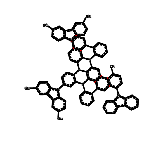 CC(C)(C)c1ccc2c(c1)c1cc(C#N)ccc1n2-c1ccc2c(c1)N(c1ccccc1-c1ccccc1)c1cc(-c3cc(-n4c5ccccc5c5ccccc54)ccc3C#N)cc3c1B2c1ccc(-n2c4ccc(C(C)(C)C)cc4c4cc(C(C)(C)C)ccc42)cc1N3c1ccccc1-c1ccccc1